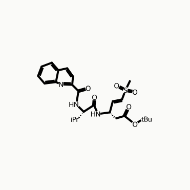 CC(C)[C@H](NC(=O)c1ccc2ccccc2n1)C(=O)N[C@H](/C=C/S(C)(=O)=O)CC(=O)OC(C)(C)C